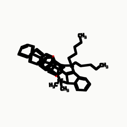 CCCCC[Si]1(CCCCC)C2=C(c3ccc(-c4ccccc4)cc3)[CH](c3ccccc32)[Hf]([CH3])([CH3])[CH]2C(c3ccc(-c4ccccc4)cc3)=C1c1ccccc12